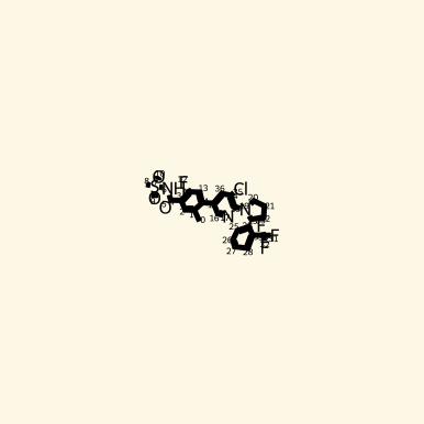 Cc1cc(C(=O)NS(C)(=O)=O)c(F)cc1-c1cnc(N2CCC[C@@H]2c2ccccc2C(F)(F)F)c(Cl)c1